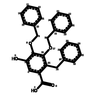 O=C(O)c1cc(O)c(OCc2ccccc2)c(OCc2ccccc2)c1Cc1ccccc1